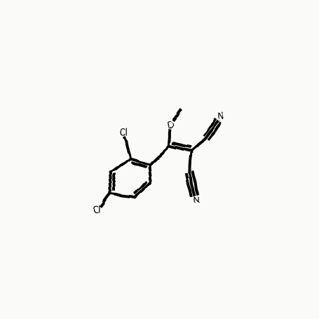 COC(=C(C#N)C#N)c1ccc(Cl)cc1Cl